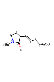 CCCCCCCCCCC=CC1CCN(CCCC)C1=O